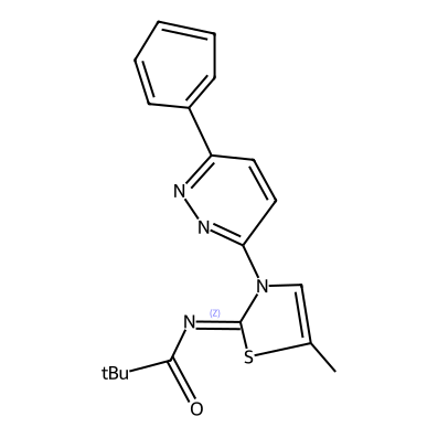 Cc1cn(-c2ccc(-c3ccccc3)nn2)/c(=N/C(=O)C(C)(C)C)s1